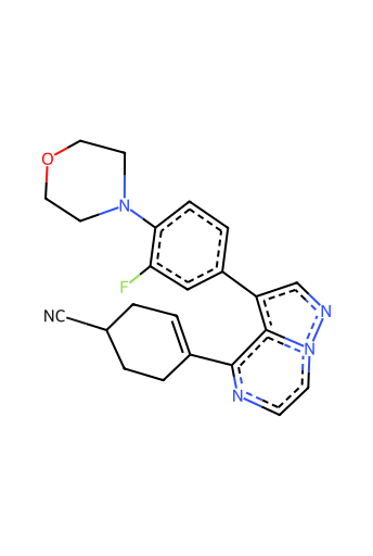 N#CC1CC=C(c2nccn3ncc(-c4ccc(N5CCOCC5)c(F)c4)c23)CC1